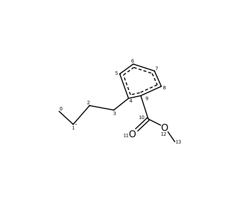 C[CH]CCc1ccccc1C(=O)OC